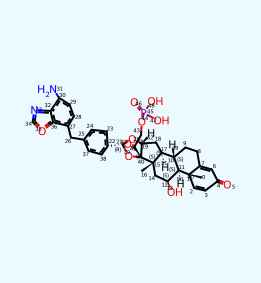 C[C@]12C=CC(=O)C=C1CC[C@@H]1[C@@H]2[C@@H](O)C[C@@]2(C)[C@H]1C[C@H]1O[C@@H](c3ccc(Cc4ccc(N)c5ncoc45)cc3)O[C@]12C(=O)COP(=O)(O)O